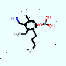 OB(O)O.[Li][c]1ccc(CCCC)c(CC)c1CN